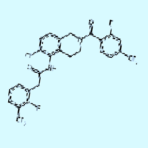 O=C(Cc1cccc(C(F)(F)F)c1F)Nc1c(Cl)ccc2c1CCN(C(=O)c1ccc(C(F)(F)F)cc1F)C2